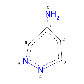 Nc1c[c]nnc1